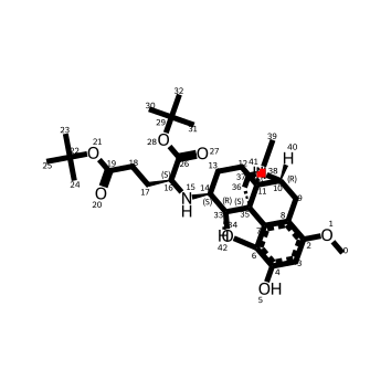 COc1cc(O)c2c3c1C[C@@H]1[C@@H]4CC[C@H](N[C@@H](CCC(=O)OC(C)(C)C)C(=O)OC(C)(C)C)[C@H](O2)[C@]34CCN1C